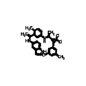 C=C(Nc1ccc2[nH]ccc2c1)c1cc(NC(=C)C2C(c3cc(C)cc(Cl)c3)C2(Cl)Cl)ccc1C